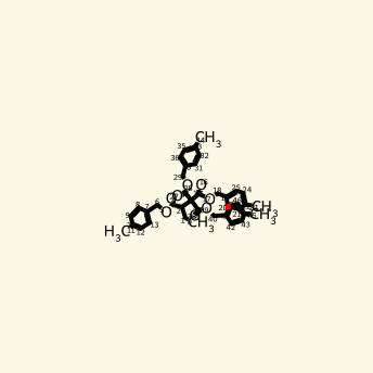 CCC(C(=O)OCc1ccc(C)cc1)C(C(=O)OCc1ccc(C)cc1)(C(=O)OCc1ccc(C)cc1)C(=O)OCc1ccc(C)cc1